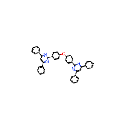 c1ccc(-c2cc(-c3ccccc3)nc(-c3ccc(Oc4ccc(-c5nc(-c6ccccc6)cc(-c6ccccc6)n5)cc4)cc3)n2)cc1